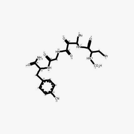 CCC(C)C(NC(=O)C(CC(C)C)NC(=O)O)C(=O)C(=O)NCC(=O)NC(Cc1ccc(C#N)cc1)C(N)=O